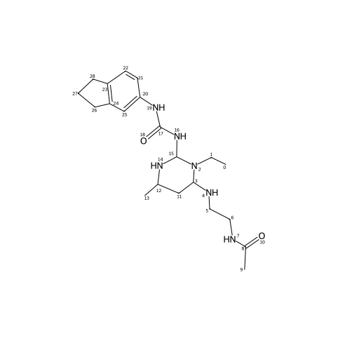 CCN1C(NCCNC(C)=O)CC(C)NC1NC(=O)Nc1ccc2c(c1)CCC2